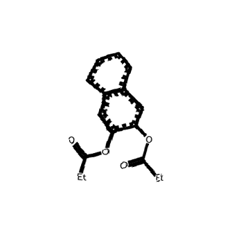 CCC(=O)Oc1cc2ccccc2cc1OC(=O)CC